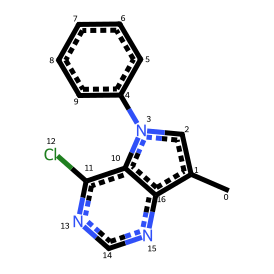 Cc1cn(-c2ccccc2)c2c(Cl)ncnc12